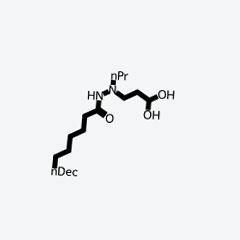 CCCCCCCCCCCCCCCC(=O)NN(CCC)CCC(O)O